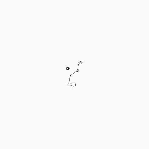 CCCSCC(=O)O.[KH]